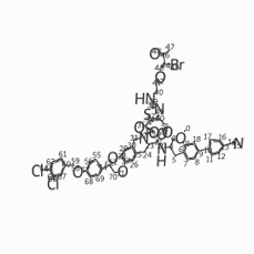 COC(=O)C(Cc1ccc(-c2ccc(C#N)cc2)cc1)NC(=O)C1Cc2cc3c(cc2CN1S(=O)(=O)c1sc(NCCOCC(Br)C(C)=O)nc1C)OC(c1ccc(OCc2ccc(Cl)c(Cl)c2)cc1)CO3